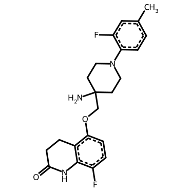 Cc1ccc(N2CCC(N)(COc3ccc(F)c4c3CCC(=O)N4)CC2)c(F)c1